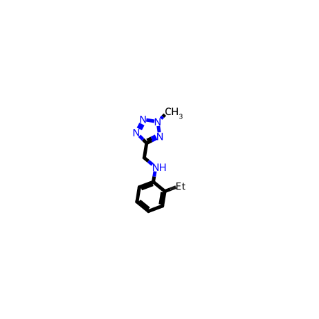 CCc1ccccc1NCc1nnn(C)n1